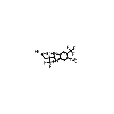 [C-]#[N+]c1cc2nc(C(O)(CC#C)C(F)(F)F)[nH]c2cc1C(F)(F)F